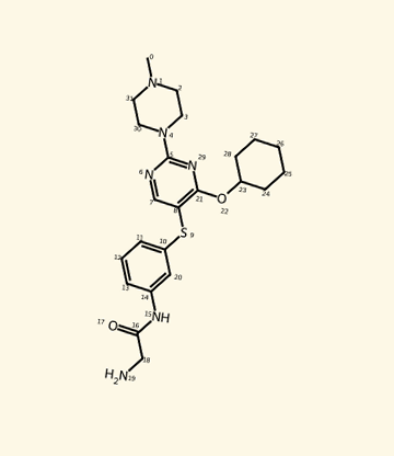 CN1CCN(c2ncc(Sc3cccc(NC(=O)CN)c3)c(OC3CCCCC3)n2)CC1